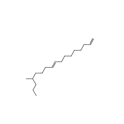 C=CCCCCCCC=CCCCC(C)CCC